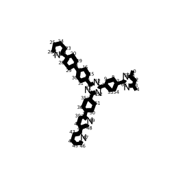 Cc1cc(C)nc(-c2ccc(-c3nc(-c4ccc(-c5ccc(-c6ccccn6)cc5)cc4)nc(-c4ccc(-c5ccc(-c6ccccn6)cn5)cc4)n3)cc2)n1